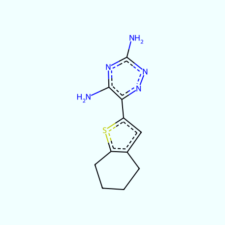 Nc1nnc(-c2cc3c(s2)CCCC3)c(N)n1